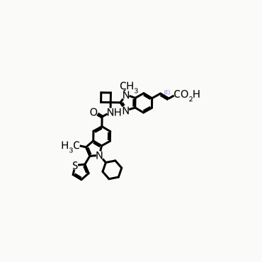 Cc1c(-c2cccs2)n(C2CCCCC2)c2ccc(C(=O)NC3(c4nc5ccc(/C=C/C(=O)O)cc5n4C)CCC3)cc12